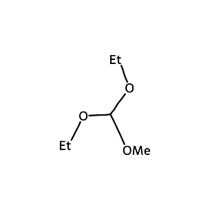 CCOC(OC)OCC